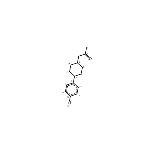 CC(=O)CC1CCC(c2ccc(Cl)cc2)CC1